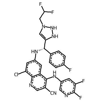 N#Cc1cnc2c(Cl)cc(N[C@H](C3=CN(CC(F)F)NN3)c3ccc(F)cc3)cc2c1Nc1cnc(F)c(F)c1